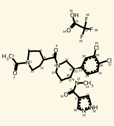 CC(=O)N1CCC(C(=O)N2CC[C@@H](N(C)C(=O)c3cn[nH]c3)[C@H](c3ccc(Cl)c(Cl)c3)C2)CC1.O=C(O)C(F)(F)F